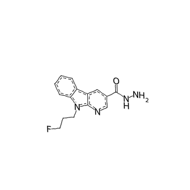 NNC(=O)c1cnc2c(c1)c1ccccc1n2CCCF